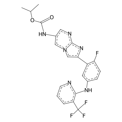 CC(C)OC(=O)Nc1cnc2nc(-c3cc(Nc4ncccc4C(F)(F)F)ccc3F)cn2c1